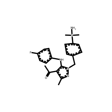 CC(=O)c1c(C)nn(Cc2ccc(S(C)(C)N)cc2)c1Nc1ccc(F)cc1